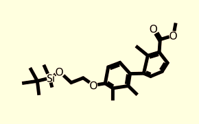 COC(=O)c1cccc(-c2ccc(OCCO[Si](C)(C)C(C)(C)C)c(C)c2C)c1C